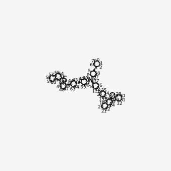 c1ccc(-c2ccc(N(c3ccc(-c4ccc(-c5c6ccccc6cc6c5oc5ccccc56)cc4)cc3)c3ccc(-c4ccc(-c5cccc6c5sc5ccc7ccccc7c56)cc4)cc3)cc2)cc1